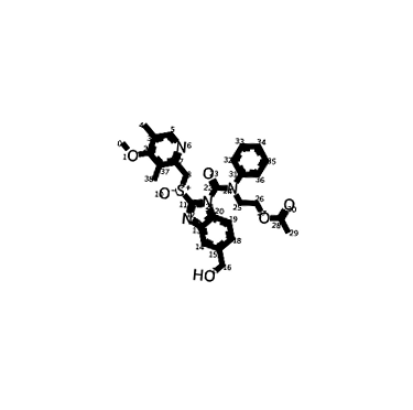 COc1c(C)cnc(C[S+]([O-])c2nc3cc(CO)ccc3n2C(=O)N(CCOC(C)=O)c2ccccc2)c1C